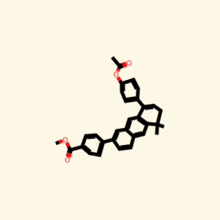 COC(=O)c1ccc(-c2ccc3cc4c(cc3c2)C(c2ccc(OC(C)=O)cc2)=CCC4(C)C)cc1